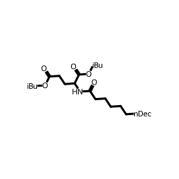 CCCCCCCCCCCCCCCC(=O)NC(CCC(=O)OC(C)CC)C(=O)OC(C)CC